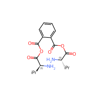 CC(C)[C@H](N)C(=O)OC(=O)c1ccccc1C(=O)OC(=O)[C@@H](N)C(C)C